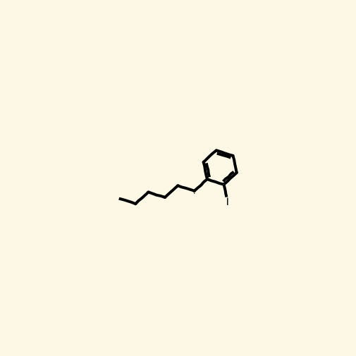 CCCCC[CH]c1ccccc1I